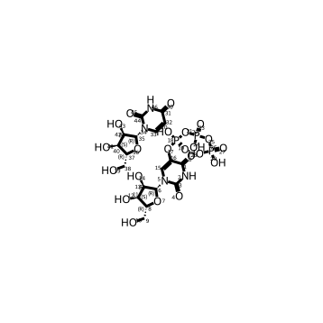 O=c1[nH]c(=O)n([C@@H]2O[C@H](CO)[C@@H](O)[C@H]2O)cc1OP(=O)(O)OP(=O)(O)OP(=O)(O)O.O=c1ccn([C@@H]2O[C@H](CO)[C@@H](O)[C@H]2O)c(=O)[nH]1